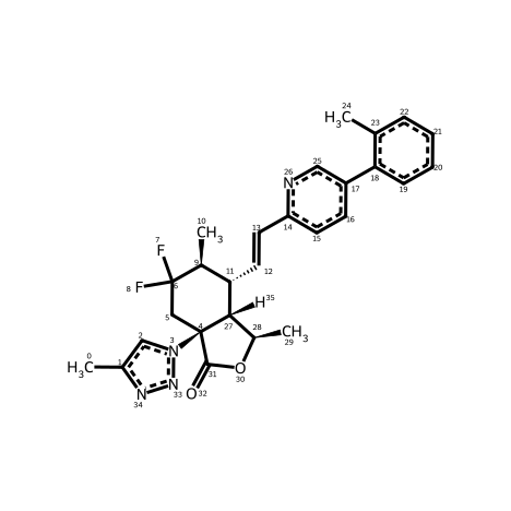 Cc1cn([C@@]23CC(F)(F)[C@@H](C)[C@H](/C=C/c4ccc(-c5ccccc5C)cn4)[C@@H]2[C@@H](C)OC3=O)nn1